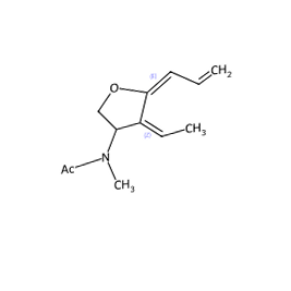 C=C/C=C1/OCC(N(C)C(C)=O)/C1=C/C